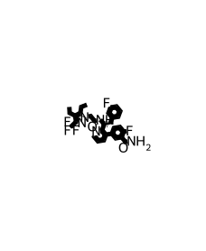 CCc1c(C(F)(F)F)nn(CC(=O)N[C@@H](Cc2cccc(F)c2)c2ncccc2-c2ccc(F)c(C(N)=O)c2)c1CC